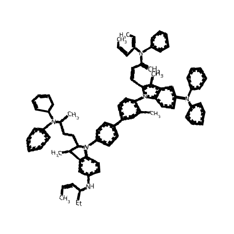 C=C(/C=C\c1c(C)c2cc(N(c3ccccc3)c3ccccc3)ccc2n1-c1ccc(-c2ccc(N3c4ccc(NC(/C=C\C)CC)cc4C(C)C3CCC(C)N(c3ccccc3)C3C=CC=CC3)cc2)cc1C)N(C(/C=C\C)=C/C)c1ccccc1